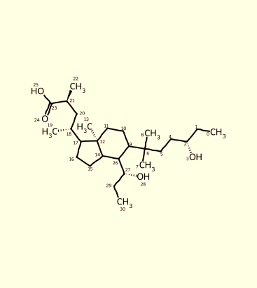 CC[C@H](O)CCC(C)(C)C1CC[C@@]2(C)C(CCC2[C@H](C)C[C@H](C)C(=O)O)C1[C@H](O)CC